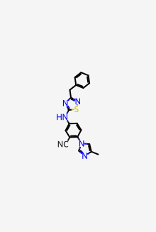 Cc1cn(-c2ccc(Nc3nc(Cc4ccccc4)ns3)cc2C#N)cn1